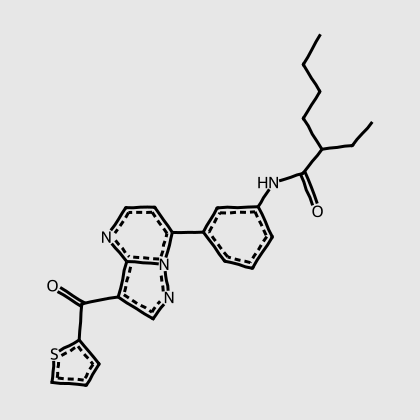 CCCCC(CC)C(=O)Nc1cccc(-c2ccnc3c(C(=O)c4cccs4)cnn23)c1